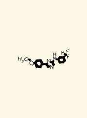 CCOc1ccc(-c2cncc(Nc3cccc(C(F)(F)F)c3)n2)cc1